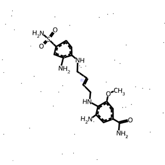 COc1cc(C(N)=O)cc(N)c1NC/C=C/CNc1ccc(S(N)(=O)=O)cc1N